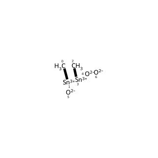 [CH3][Sn+3].[CH3][Sn+3].[O-2].[O-2].[O-2]